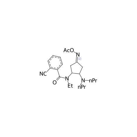 CCCN(CCC)C1C/C(=N/OC(C)=O)CC1N(CC)C(=O)c1ccccc1C#N